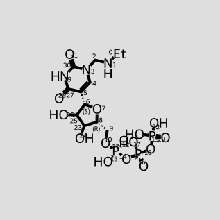 CCNCn1cc([C@@H]2O[C@H](COP(=O)(O)OP(=O)(O)OP(=O)(O)O)C(O)C2O)c(=O)[nH]c1=O